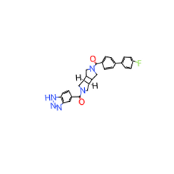 O=C(c1ccc(-c2ccc(F)cc2)cc1)N1CC2C(C1)[C@@H]1CN(C(=O)c3ccc4[nH]nnc4c3)C[C@H]21